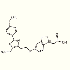 CCc1ccc(-c2nc(CCOc3ccc4c(c3)CC[C@H]4CC(=O)O)c(CC)o2)cc1